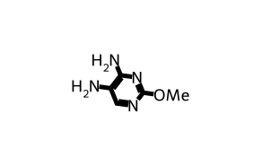 COc1ncc(N)c(N)n1